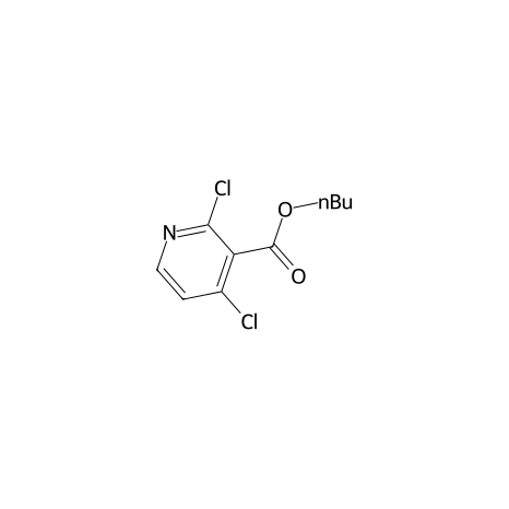 CCCCOC(=O)c1c(Cl)ccnc1Cl